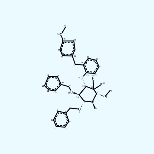 CC[C@@H]1[C@@H](C)[C@H](OCc2ccccc2)[C@@H](OCc2ccccc2)[C@H](Oc2ccccc2Cc2ccc(OC)cc2)C1(F)F